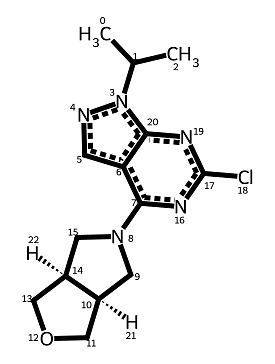 CC(C)n1ncc2c(N3C[C@H]4COC[C@H]4C3)nc(Cl)nc21